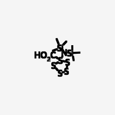 C[Si](C)(C)N([Si](C)(C)C)S1(C(=O)O)SSSS1